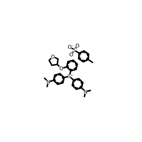 CN(C)c1ccc([S+](c2ccc(N(C)C)cc2)c2ccccc2OC2CCOC2)cc1.Cc1ccc(S(=O)(=O)[O-])cc1